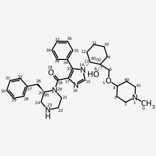 CN1CCC(OC[C@]2(O)CCCC[C@H]2n2cnc(C(=O)N3CCNC[C@H]3Cc3ccccc3)c2-c2ccccc2)CC1